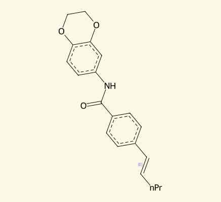 CCC/C=C/c1ccc(C(=O)Nc2ccc3c(c2)OCCO3)cc1